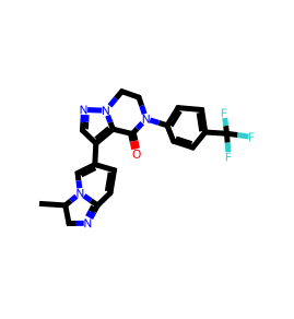 CC1CN=C2C=CC(c3cnn4c3C(=O)N(c3ccc(C(F)(F)F)cc3)CC4)=CN21